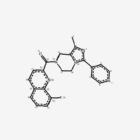 Cc1nc(-c2ccncc2)n2c1CN(C(=O)c1ccc3cccc(F)c3n1)CC2